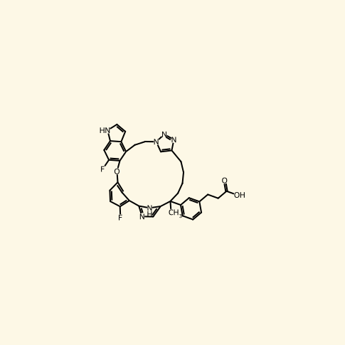 CC1(c2cccc(CCC(=O)O)c2)CCCCc2cn(nn2)CCc2c(c(F)cc3[nH]ccc23)Oc2ccc(F)c(c2)-c2ncc1[nH]2